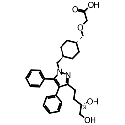 O=C(O)COC[C@H]1CC[C@H](Cn2nc(CC[C@H](O)CO)c(-c3ccccc3)c2-c2ccccc2)CC1